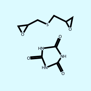 C1OC1CSCC1CO1.O=c1[nH]c(=O)[nH]c(=O)[nH]1